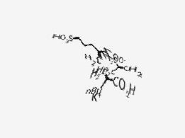 C=C(C)C(=O)O.C=C(CCCC)C(=O)O.C=C(CCCS(=O)(=O)O)C(=O)[O-].[K+]